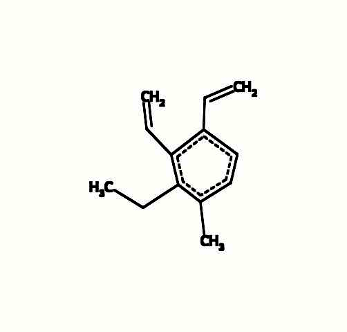 C=Cc1ccc(C)c(CC)c1C=C